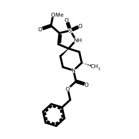 COC(=O)C1=C[C@]2(CCN(C(=O)OCc3ccccc3)[C@@H](C)C2)NS1(=O)=O